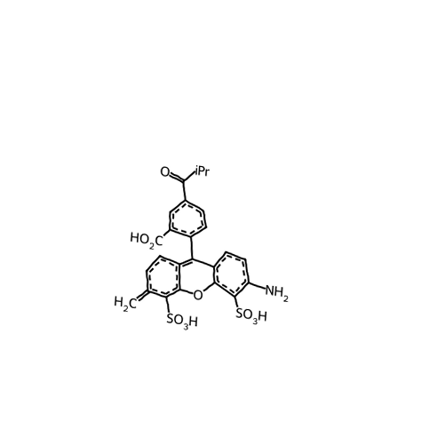 C=c1ccc2c(c1S(=O)(=O)O)Oc1c(ccc(N)c1S(=O)(=O)O)C=2c1ccc(C(=O)C(C)C)cc1C(=O)O